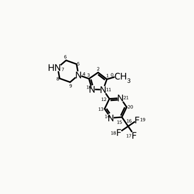 Cc1cc(N2CCNCC2)nn1-c1cnc(C(F)(F)F)cn1